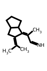 CC(C)=C1CC2CCCC2/C1=C(\C)C=N